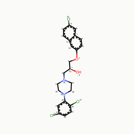 O[C@H](COc1ccc2cc(Cl)ccc2c1)CN1CCN(c2cc(Cl)ccc2Cl)CC1